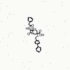 O=C(Cc1ccccc1)N[C@@H]1C(=O)N2CC(SCc3ccc(-c4ccccc4)cc3)(C(=O)O)CS[C@H]12